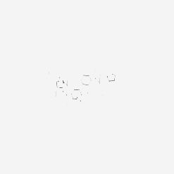 CC(=O)OCc1c(-c2cc(Nc3cc4n(n3)CCOC4)c(=O)n(C)c2)cc(F)cc1N1CCc2c(sc3c2CCCC3)C1=O